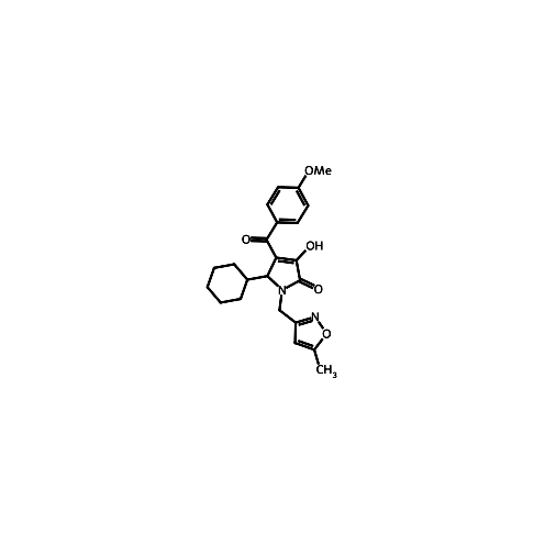 COc1ccc(C(=O)C2=C(O)C(=O)N(Cc3cc(C)on3)C2C2CCCCC2)cc1